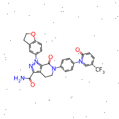 NC(=O)c1nn(-c2ccc3c(c2)CCO3)c2c1CCN(c1ccc(-n3cc(C(F)(F)F)ccc3=O)cc1)C2=O